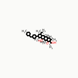 CC1=C(C(C)O)C(=O)C2(C)C(C)C3C(O)C4C(C)C(C5CCC(CC6CCC(C)CC6)CC5)CC(C(C)C)C4CC3(C)CC2(C)C1